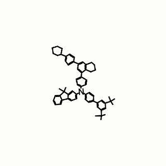 CC(C)(C)c1cc(-c2ccc(N(c3ccc(-c4cc(-c5ccc(C6CCCCC6)cc5)cc5c4CCCC5)cc3)c3ccc4c(c3)C(C)(C)c3ccccc3-4)cc2)cc(C(C)(C)C)c1